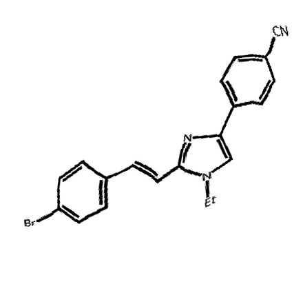 CCn1cc(-c2ccc(C#N)cc2)nc1C=Cc1ccc(Br)cc1